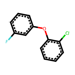 Fc1[c]ccc(Oc2ccccc2Cl)c1